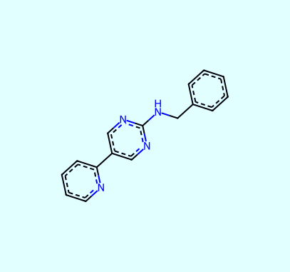 c1ccc(CNc2ncc(-c3ccccn3)cn2)cc1